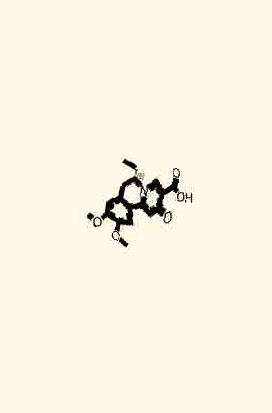 CC[C@H]1Cc2cc(OC)c(OC)cc2-c2cc(=O)c(C(=O)O)cn21